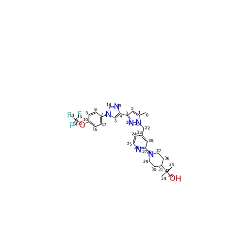 Cc1cc(-c2cn(-c3ccc(OC(F)(F)F)cc3)cn2)nn1Cc1ccnc(N2CCC(C(C)(C)O)CC2)c1